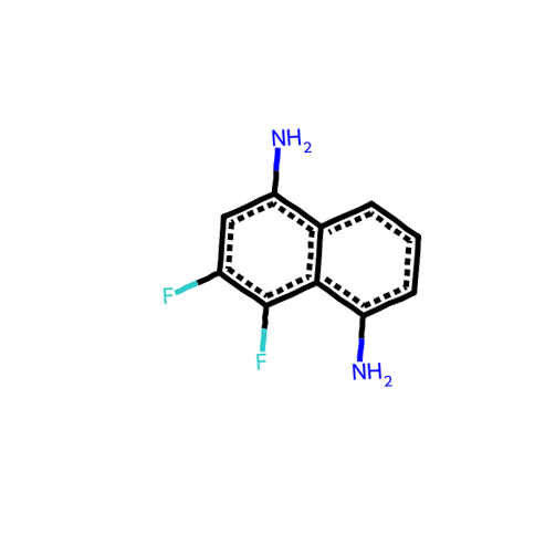 Nc1cc(F)c(F)c2c(N)cccc12